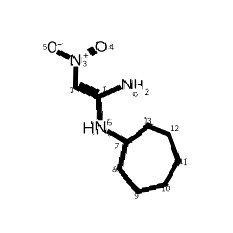 NC(=C[N+](=O)[O-])NC1CCCCCC1